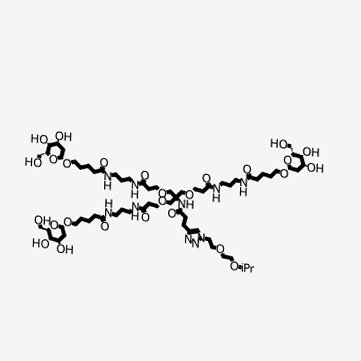 CC(C)OCCOCCn1cc(CCC(=O)NC(COCCC(=O)NCCCNC(=O)CCCCO[C@H]2C[C@@H](O)[C@@H](O)[C@@H](CO)O2)(COCCC(=O)NCCCNC(=O)CCCCO[C@H]2C[C@@H](O)[C@@H](O)[C@@H](CO)O2)COCCC(=O)NCCCNC(=O)CCCCO[C@H]2C[C@@H](O)[C@@H](O)[C@@H](CO)O2)nn1